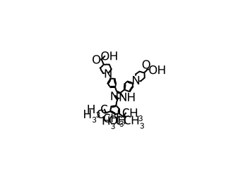 CC(C)(C)c1cc(-c2nc(-c3ccc(N4CCC(C(=O)O)CC4)cc3)c(-c3ccc(N4CCC(C(=O)O)CC4)cc3)[nH]2)cc(C(C)(C)C)c1O